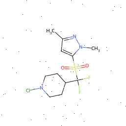 Cc1cc(S(=O)(=O)C(F)(F)C2CCN(Cl)CC2)n(C)n1